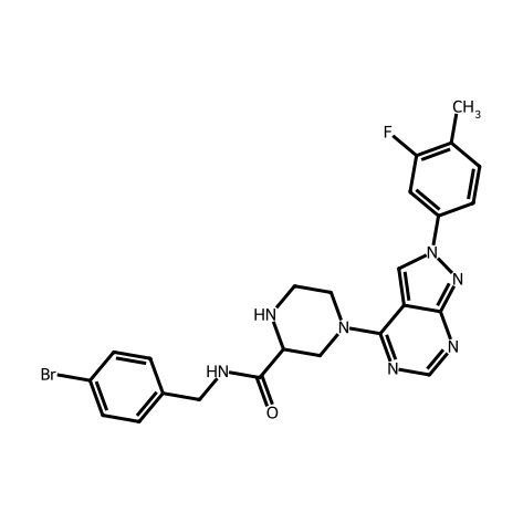 Cc1ccc(-n2cc3c(N4CCNC(C(=O)NCc5ccc(Br)cc5)C4)ncnc3n2)cc1F